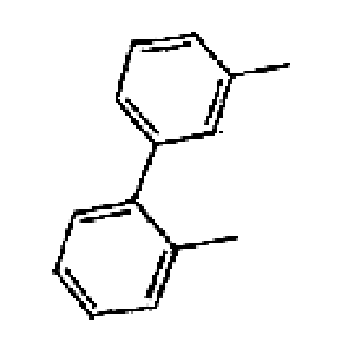 Cc1[c]c(-c2ccccc2C)ccc1